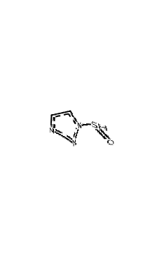 O=[SH]n1ccnn1